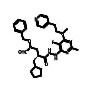 Cc1nc(NNC(=O)[C@H](CC2CCCC2)CN(C=O)OCc2ccccc2)c(F)c(N(C)CCc2ccncc2)n1